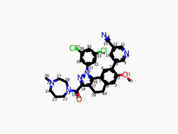 COc1cc2c(cc1-c1cncc(C#N)c1)-c1c(c(C(=O)N3CCCN(C)CC3)nn1-c1cc(Cl)cc(Cl)c1)CC2